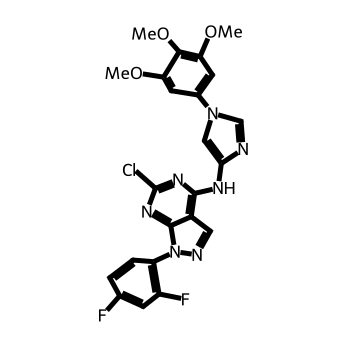 COc1cc(-n2cnc(Nc3nc(Cl)nc4c3cnn4-c3ccc(F)cc3F)c2)cc(OC)c1OC